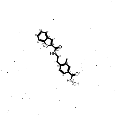 Cc1cc(C(=O)NO)ccc1CCNC(=O)c1cc2ccccc2s1